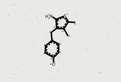 Cc1sc(N)c(Cc2ccc(Cl)cc2)c1C